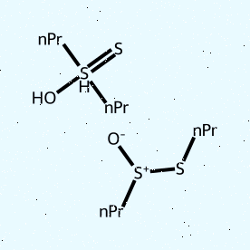 CCCS[S+]([O-])CCC.CCC[SH](O)(=S)CCC